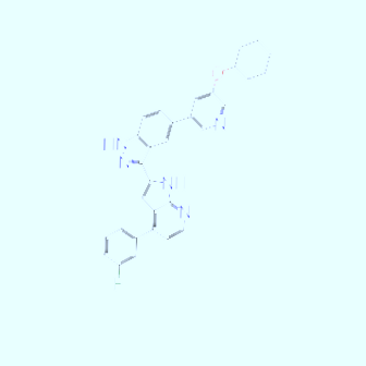 Fc1cccc(-c2ccnc3[nH]c(-c4n[nH]c5ccc(-c6cncc(OC7CCCCC7)c6)cc45)cc23)c1